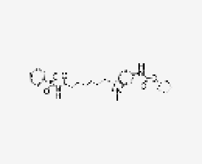 O=C(CCCCCCc1c[nH]c2cc(NC(=O)OC3CCCC3)ccc12)NS(=O)(=O)c1ccccc1